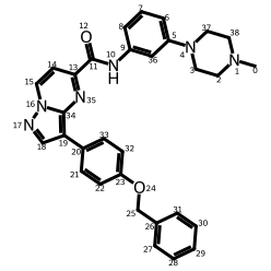 CN1CCN(c2cccc(NC(=O)c3ccn4ncc(-c5ccc(OCc6ccccc6)cc5)c4n3)c2)CC1